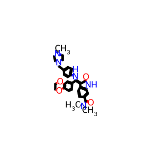 CN1CCN(Cc2ccc(N/C(=C3\C(=O)Nc4cc(C(=O)N(C)C)ccc43)c3ccc4c(c3)OCCO4)cc2)CC1